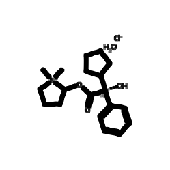 C[N+]1(C)CCCC1OC(=O)[C@](O)(c1ccccc1)C1CCCC1.O.[Cl-]